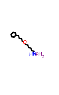 PNCCCCCCOCCCCc1ccccc1